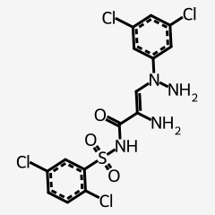 N/C(=C\N(N)c1cc(Cl)cc(Cl)c1)C(=O)NS(=O)(=O)c1cc(Cl)ccc1Cl